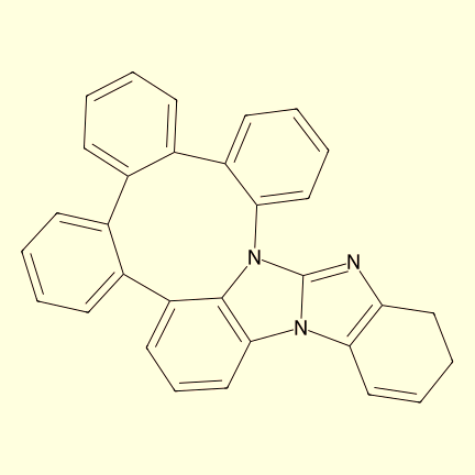 C1=Cc2c(nc3n2c2cccc4c5ccccc5c5ccccc5c5ccccc5n3c42)CC1